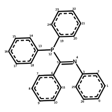 c1ccc(N=C(c2ccccc2)P(c2ccccc2)c2ccccc2)cc1